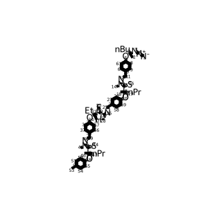 CCCCC(C)(N=[N+]=[N-])Oc1ccc(/C=N/N(C)[PH](=S)[C@@](C)(CCC)Oc2ccc(/C=N/N(C)[PH](=S)C(C)(CC)Oc3ccc(/C=N/N(C)[PH](=S)C(C)(CCC)Oc4ccc(C)cc4)cc3)cc2)cc1